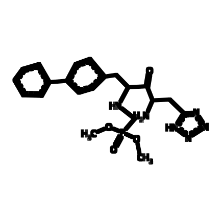 COP(=O)(CNC(Cc1ccc(-c2ccccc2)cc1)C(=O)C(N)Cc1nnn[nH]1)OC